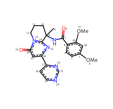 COc1ccc(C(=O)NC2(C)CCCn3c2nc(-c2ccncn2)cc3=O)c(OC)c1